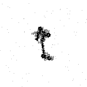 CCC[C@H](NC(=O)[C@@H]1[C@H]2CCC[C@H]2CN1C(=O)[C@@H](NC(=O)[C@@H](NC(=O)c1cnc(NCCOCCOCCNc2cccc3c2CN(C2CCC(=O)NC2=O)C3=O)cn1)C1CCCCC1)C(C)(C)C)C(O)C(=O)NC1CC1